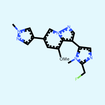 COc1cc(-c2cnn(C)c2)cn2ncc(-c3cnc(CF)n3C)c12